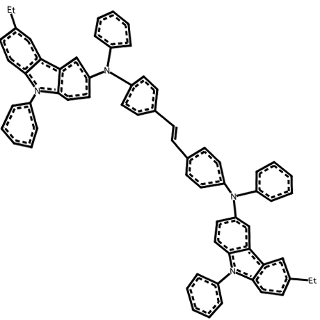 CCc1ccc2c(c1)c1cc(N(c3ccccc3)c3ccc(/C=C/c4ccc(N(c5ccccc5)c5ccc6c(c5)c5cc(CC)ccc5n6-c5ccccc5)cc4)cc3)ccc1n2-c1ccccc1